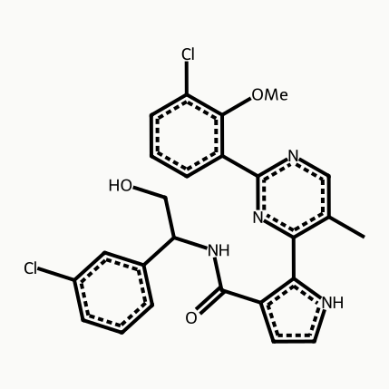 COc1c(Cl)cccc1-c1ncc(C)c(-c2[nH]ccc2C(=O)NC(CO)c2cccc(Cl)c2)n1